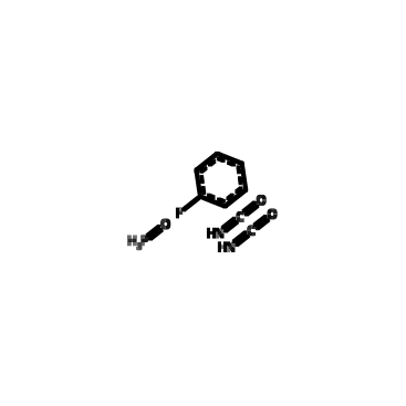 Fc1ccccc1.N=C=O.N=C=O.O=[PH3]